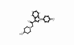 O=C(CN1CCC(O)CC1)c1cn(-c2ccc(Cl)cc2)c2ccccc12